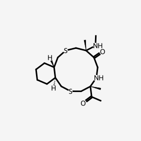 CN[C@@]1(C)CSC[C@H]2CCCC[C@@H]2CSC[C@@](C)(C(C)=O)NCC1=O